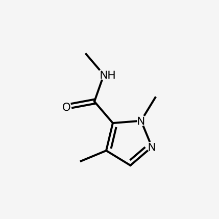 CNC(=O)c1c(C)cnn1C